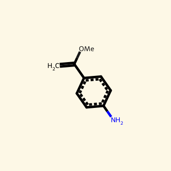 C=C(OC)c1ccc(N)cc1